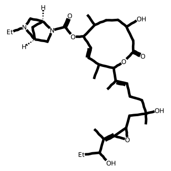 CCC(O)C(C)=C1OC1CC(C)(O)CC/C=C(\C)C1OC(=O)CC(O)CCC(C)C(OC(=O)N2C[C@@H]3C[C@H]2CN3CC)/C=C/C1C